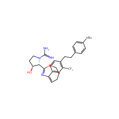 CCCCc1ccc(CCc2ccc(C3=C\CCCO/C([C@@H]4[C@@H](O)CCN4C(=N)N)=N\3)cc2C(F)(F)F)cc1